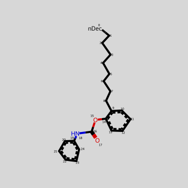 CCCCCCCCCCCCCCCCCCc1ccccc1OC(=O)Nc1ccccc1